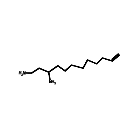 C=CCCCCCCCC(N)CCN